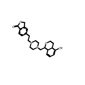 N#CC1=CC=CC2C(CN3CCN(CCc4ccc5c(c4)COC5=O)CC3)OCCC12